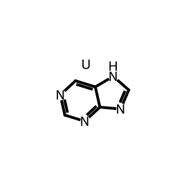 [U].c1ncc2[nH]cnc2n1